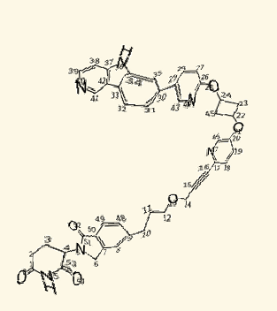 O=C1CCC(N2Cc3cc(CCCOCC#Cc4ccc(OC5CC(Oc6ccc(-c7ccc8c(c7)[nH]c7ccncc78)cn6)C5)cn4)ccc3C2=O)C(=O)N1